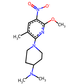 COc1nc(N2CCC(N(C)C)CC2)c(C)cc1[N+](=O)[O-]